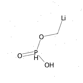 [Li][CH2]O[PH](=O)O